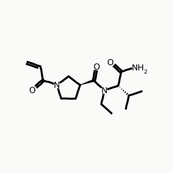 C=CC(=O)N1CC[C@H](C(=O)N(CC)[C@H](C(N)=O)C(C)C)C1